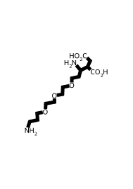 NCCCOCCOCCOCCC(N)C(CC(=O)O)C(=O)O